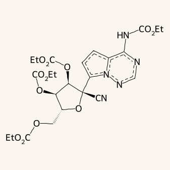 CCOC(=O)Nc1ncnn2c([C@]3(C#N)O[C@H](COC(=O)OCC)[C@@H](OC(=O)OCC)[C@H]3OC(=O)OCC)ccc12